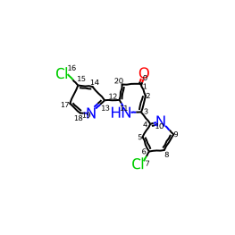 O=c1cc(-c2cc(Cl)ccn2)[nH]c(-c2cc(Cl)ccn2)c1